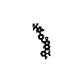 CC(C)c1c(F)cccc1-c1ncc2sc(=O)n(Cc3ccc(-c4nc(C(F)(F)F)nn4C)cc3)c2n1